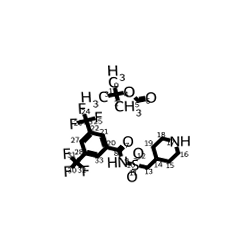 CC(C)(C)OC=O.O=C(NS(=O)(=O)CC1CCNCC1)c1cc(C(F)(F)F)cc(C(F)(F)F)c1